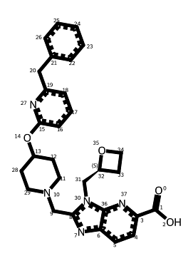 O=C(O)c1ccc2nc(CN3CCC(Oc4cccc(Cc5ccccc5)n4)CC3)n(C[C@@H]3CCO3)c2n1